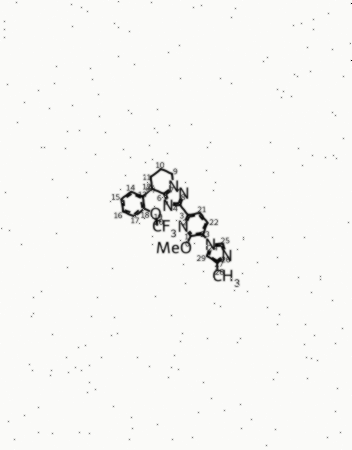 COc1nc(-c2nc3n(n2)CCC[C@@H]3c2ccccc2OC(F)(F)F)ccc1-n1cnc(C)c1